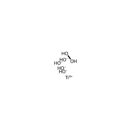 OO.[OH-].[OH-].[OH-].[OH-].[Ti+4]